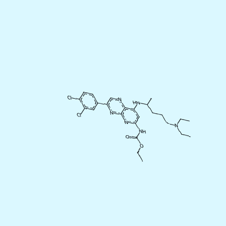 CCOC(=O)Nc1cc(NC(C)CCCN(CC)CC)c2ncc(-c3ccc(Cl)c(Cl)c3)nc2n1